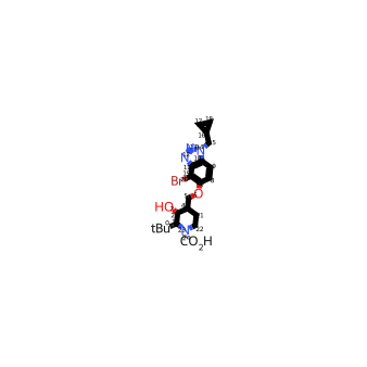 CC(C)(C)C1C(O)C(COc2ccc3c(nnn3CC3CC3)c2Br)CCN1C(=O)O